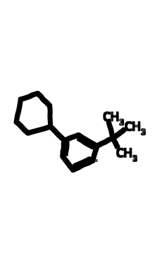 CC(C)(C)c1[c]ccc(C2CCCCC2)c1